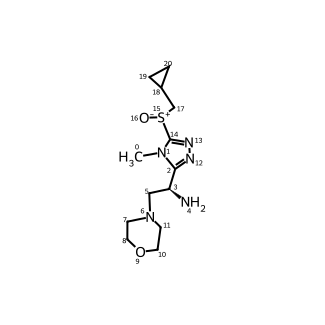 Cn1c([C@@H](N)CN2CCOCC2)nnc1[S+]([O-])CC1CC1